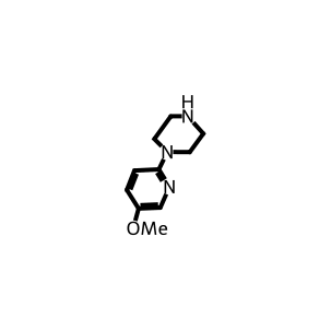 COc1ccc(N2CCNCC2)nc1